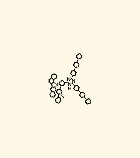 c1ccc(-c2ccc(-c3ccc(C4=NC(c5ccc(-n6c7cc8ccccc8cc7c7ccc8ccccc8c76)c(-c6ccc7c(c6)sc6ccccc67)c5)NC(c5ccc(-c6ccc(-c7ccccc7)cc6)cc5)=N4)cc3)cc2)cc1